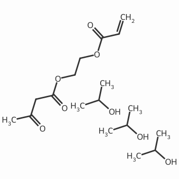 C=CC(=O)OCCOC(=O)CC(C)=O.CC(C)O.CC(C)O.CC(C)O